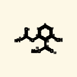 [CH2]CCC(=O)Oc1cccc(O)c1C(=O)OC